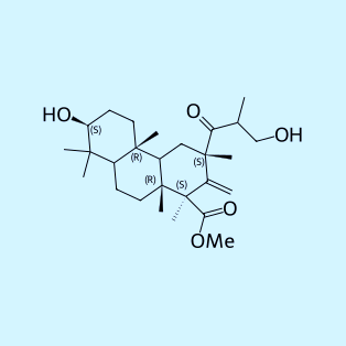 C=C1[C@@](C)(C(=O)C(C)CO)CC2[C@@]3(C)CC[C@H](O)C(C)(C)C3CC[C@@]2(C)[C@]1(C)C(=O)OC